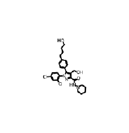 O=C(NN1CCCCC1)c1nn(-c2ccc(Cl)cc2Cl)c(-c2ccc(CCCCO)cc2)c1CO